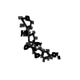 CC(C)[C@]1(C(=O)N2COc3ccc(C(F)(F)F)cc3C2)CC[C@@H](NC2CCOCC2)C1